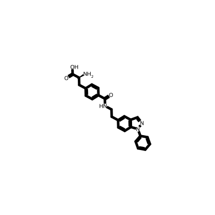 N[C@@H](Cc1ccc(C(=O)NCCc2ccc3c(cnn3-c3ccccc3)c2)cc1)C(=O)O